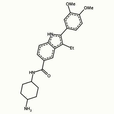 CCc1c(-c2ccc(OC)c(OC)c2)[nH]c2ccc(C(=O)NC3CCC(N)CC3)cc12